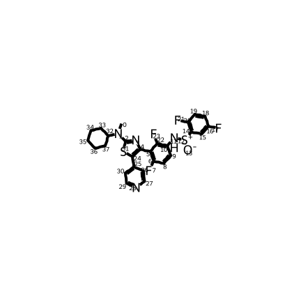 CN(c1nc(-c2c(F)ccc(N[S+]([O-])c3cc(F)ccc3F)c2F)c(-c2ccncc2)s1)C1CCCCC1